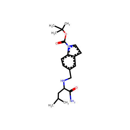 CC(C)CC(NCc1ccc2c(ccn2C(=O)OC(C)(C)C)c1)C(N)=O